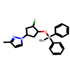 Cc1ccn(C2CC(F)C(O[Si](c3ccccc3)(c3ccccc3)C(C)(C)C)C2)n1